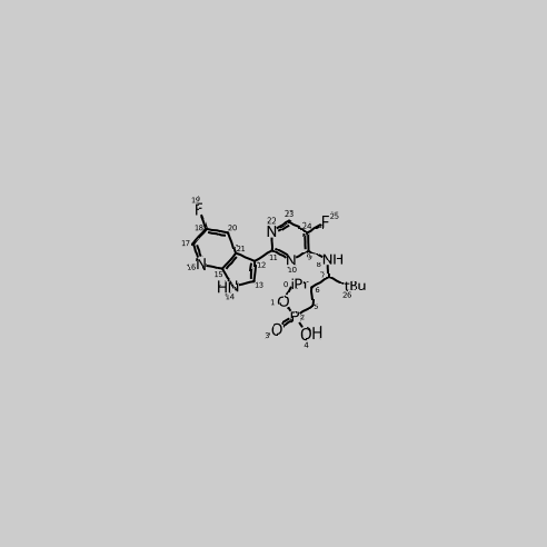 CC(C)OP(=O)(O)CCC(Nc1nc(-c2c[nH]c3ncc(F)cc23)ncc1F)C(C)(C)C